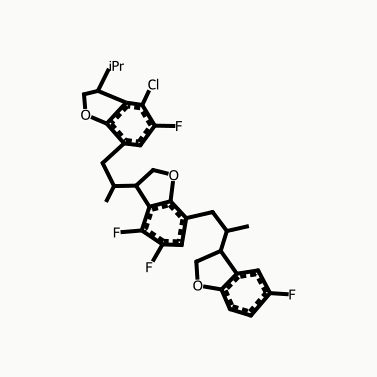 CC(C)C1COc2c(CC(C)C3COc4c(CC(C)C5COc6ccc(F)cc65)cc(F)c(F)c43)cc(F)c(Cl)c21